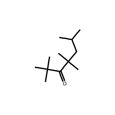 CC(C)CC(C)(C)C(=O)C(C)(C)C